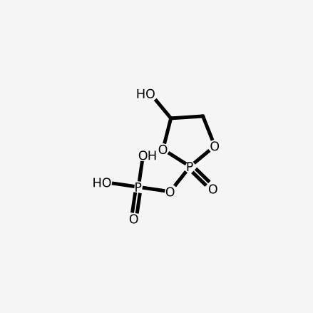 O=P(O)(O)OP1(=O)OCC(O)O1